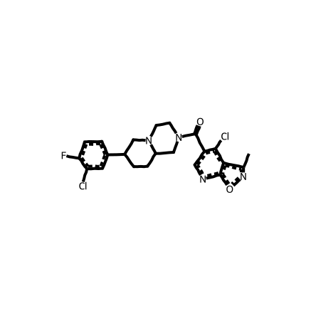 Cc1noc2ncc(C(=O)N3CCN4CC(c5ccc(F)c(Cl)c5)CCC4C3)c(Cl)c12